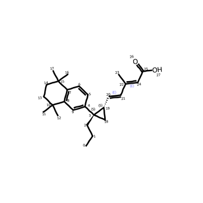 CCC[C@]1(c2ccc3c(c2)C(C)(C)CCC3(C)C)C[C@H]1/C=C/C(C)=C/C(=O)O